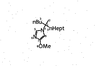 CCCCCCCC(C)(CCCC)n1cnc(OC)c1